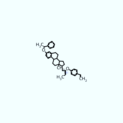 C=Cc1ccc(O/C(=C/C)CC2CCC3C4CCc5cc(OC(C)c6ccccc6)ccc5C4CCC23C)cc1